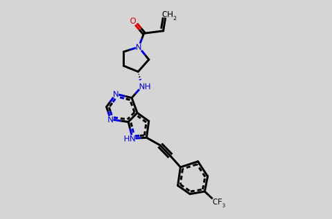 C=CC(=O)N1CC[C@@H](Nc2ncnc3[nH]c(C#Cc4ccc(C(F)(F)F)cc4)cc23)C1